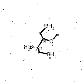 BC[C@H](B)[C@@H](CB)OC